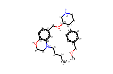 CCOCc1ccc([C@H]2CCNC[C@@H]2OCc2ccc3c(c2)N(CCCOC)CCO3)cc1